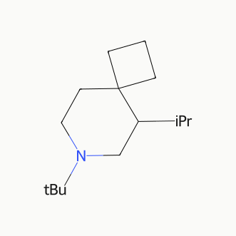 CC(C)C1CN(C(C)(C)C)CCC12CCC2